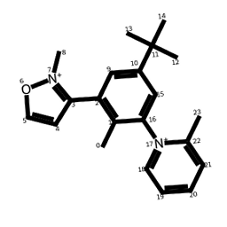 Cc1c(-c2cco[n+]2C)cc(C(C)(C)C)cc1-[n+]1ccccc1C